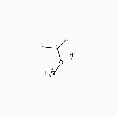 CC(C)O[SiH3].[H+]